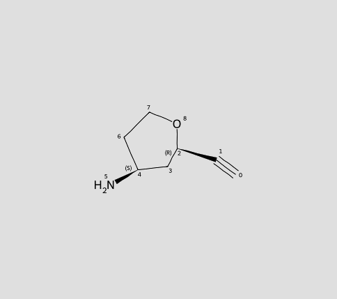 C#C[C@H]1C[C@@H](N)CCO1